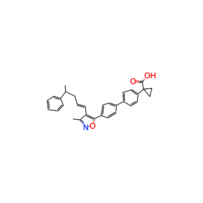 Cc1noc(-c2ccc(-c3ccc(C4(C(=O)O)CC4)cc3)cc2)c1C=CCC(C)c1ccccc1